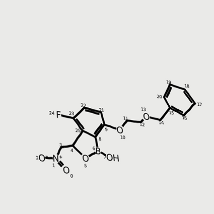 O=[N+]([O-])CC1OB(O)c2c(OCCOCc3ccccc3)ccc(F)c21